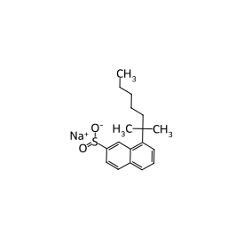 CCCCCC(C)(C)c1cccc2ccc(S(=O)[O-])cc12.[Na+]